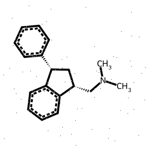 CN(C)C[C@H]1C[C@@H](c2ccccc2)c2ccccc21